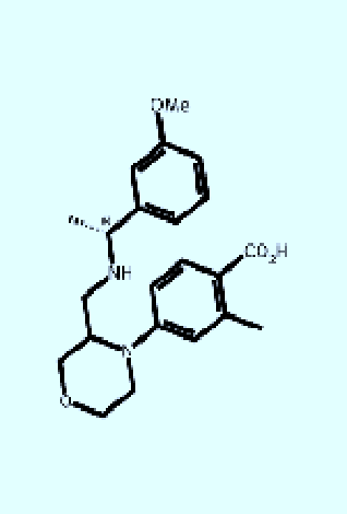 COc1cccc([C@@H](C)NCC2COCCN2c2ccc(C(=O)O)c(C)c2)c1